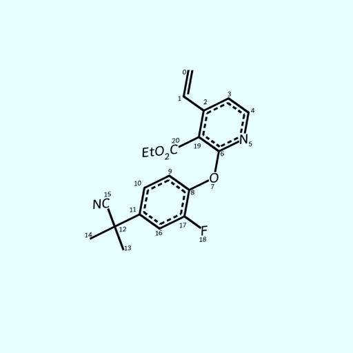 C=Cc1ccnc(Oc2ccc(C(C)(C)C#N)cc2F)c1C(=O)OCC